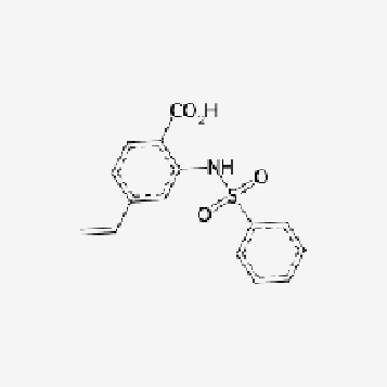 C=Cc1ccc(C(=O)O)c(NS(=O)(=O)c2ccccc2)c1